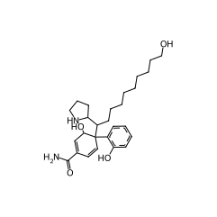 NC(=O)C1=CC(O)C(c2ccccc2O)(C(CCCCCCCCCO)C2CCCN2)C=C1